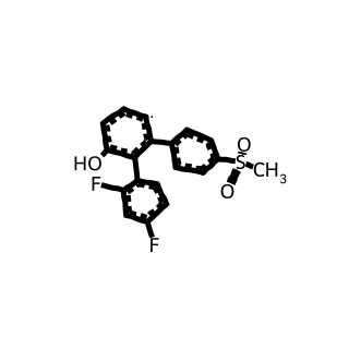 CS(=O)(=O)c1ccc(-c2[c]ccc(O)c2-c2ccc(F)cc2F)cc1